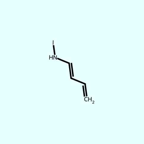 C=C/C=C/NI